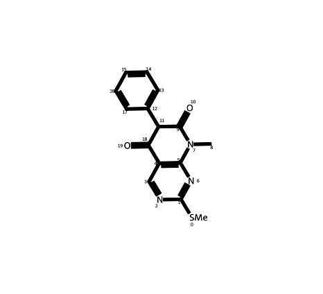 CSc1ncc2c(n1)N(C)C(=O)C(c1ccccc1)C2=O